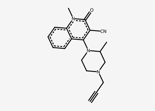 C#CCN1CCN(c2c(C#N)c(=O)n(C)c3ccccc23)C(C)C1